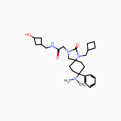 CN(C)C1(c2ccccc2)CCC2(CC1)CN(CC(=O)NCC1CC(O)C1)C(=O)N2CC1CCC1